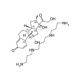 C[C@@H]1C[C@H]2[C@@H]3CCC4=CC(=O)C=C[C@]4(C)[C@@]3(F)[C@@H](O)C[C@]2(C)[C@@]1(O)C(=O)CO.NCCCNCCCCNCCCN